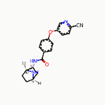 N#Cc1ccc(Oc2ccc(C(=O)N[C@@H]3C[C@H]4CC[C@@H]3N4)cc2)cn1